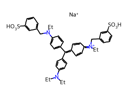 CCN(CC)c1ccc(C(=C2C=CC(=[N+](CC)Cc3cccc(S(=O)(=O)O)c3)C=C2)c2ccc(N(CC)Cc3cccc(S(=O)(=O)O)c3)cc2)cc1.[Na+]